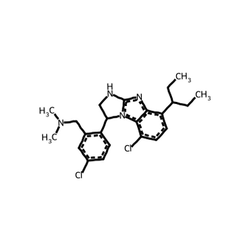 CCC(CC)c1ccc(Cl)c2c1nc1n2C(c2ccc(Cl)cc2CN(C)C)CN1